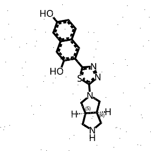 Oc1ccc2cc(-c3nnc(N4C[C@H]5CNC[C@H]5C4)s3)c(O)cc2c1